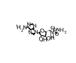 Nc1ncnc2c1ncn2[C@@H]1O[C@H](CNS(N)(=O)=O)[C@@H](O)[C@H]1O